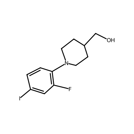 OCC1CCN(c2ccc(I)cc2F)CC1